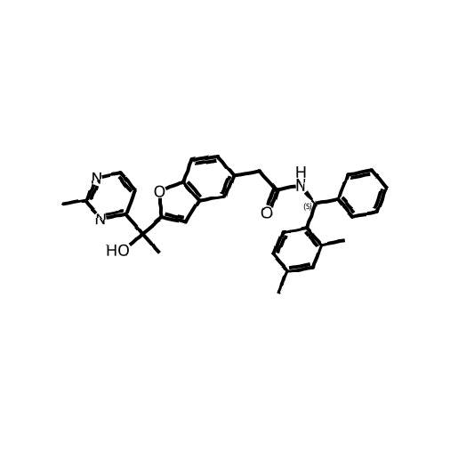 Cc1ccc([C@@H](NC(=O)Cc2ccc3oc(C(C)(O)c4ccnc(C)n4)cc3c2)c2ccccc2)c(C)c1